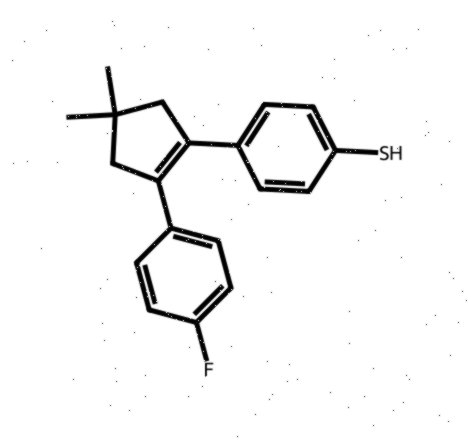 CC1(C)CC(c2ccc(F)cc2)=C(c2ccc(S)cc2)C1